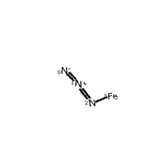 [N-]=[N+]=[N][Fe]